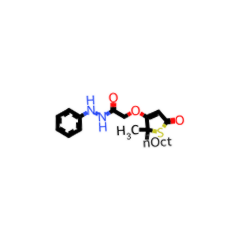 CCCCCCCCC1(C)SC(=O)C=C1OCC(=O)NNc1ccccc1